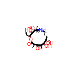 CC[C@H]1OC(=O)[C@H](C)[C@@H](O)[C@H](C)[C@@H](O)[C@](C)(O)CCCN[C@H](C)[C@@H](O)[C@]1(C)O